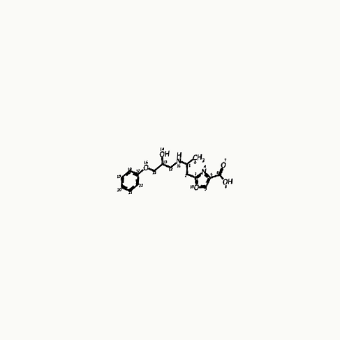 CC(Cc1nc(C(=O)O)co1)NCC(O)COc1ccccc1